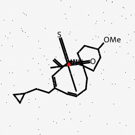 C=C1/C=C(CCC2CC2)\C=C/CCC2(CCC(OC)CC2)C12NC(=S)NC2=O